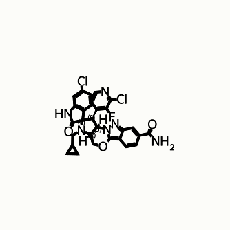 NC(=O)c1ccc2c3n(nc2c1)[C@@H]1[C@H](CO3)N(CC2CC2)[C@@]2(C(=O)Nc3cc(Cl)ccc32)[C@H]1c1ccnc(Cl)c1F